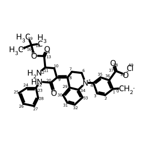 [CH2]c1ccc(N2CCC(=C(CC(N)C(=O)OC(C)(C)C)C(=O)Nc3ccccc3)c3ccccc32)cc1C(=O)OCl